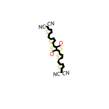 N#CC(C#N)=c1cc/c(=C\c2ccc(C3=C4C(=O)SC(c5ccc(/C=c6\ccc(=C(C#N)C#N)s6)s5)=C4C(=O)S3)s2)s1